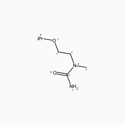 CC(C)OCCN(C)C(N)=O